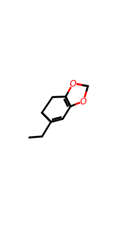 CCC1=CC2=C(CC1)OCO2